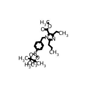 CCCc1nc(CC)c(C(=O)OC)n1Cc1ccc(B2OC(C)(C)C(C)(C)O2)cc1